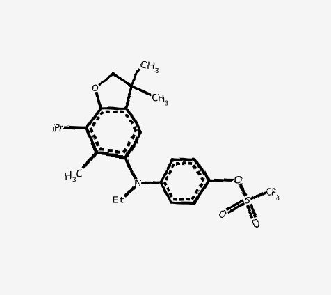 CCN(c1ccc(OS(=O)(=O)C(F)(F)F)cc1)c1cc2c(c(C(C)C)c1C)OCC2(C)C